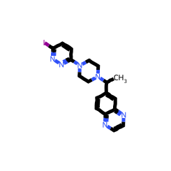 CC(c1ccc2nccnc2c1)N1CCN(c2ccc(I)nn2)CC1